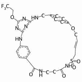 O=C1CCNC(=O)c2ccc(cc2)Nc2nc(nc(OCC(F)(F)F)n2)NCc2ccc(cc2)OC/C=C/CS(=O)(=O)N1